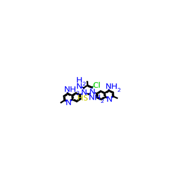 CC1=C(Cl)N(c2ccc3nc(C)cc(N)c3c2)C(N)(S)N(c2ccc3nc(C)cc(N)c3c2)C1N